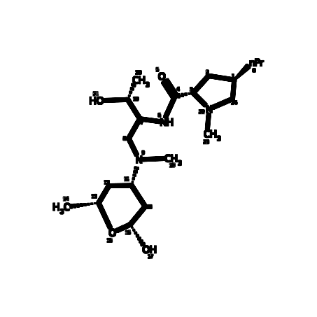 CCC[C@@H]1C[C@@H](C(=O)NC(CN(C)[C@H]2C[C@@H](C)O[C@@H](O)C2)[C@@H](C)O)N(C)C1